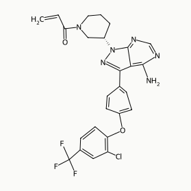 C=CC(=O)N1CCC[C@H](n2nc(-c3ccc(Oc4ccc(C(F)(F)F)cc4Cl)cc3)c3c(N)ncnc32)C1